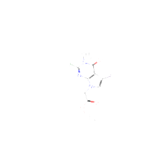 COC(=O)Cn1cc(I)c2c(=O)n(C)c(Cl)nc21